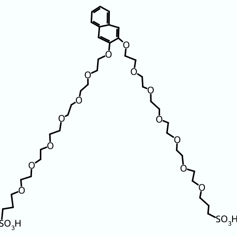 O=S(=O)(O)CCCOCCOCCOCCOCCOCCOCCOc1cc2ccccc2cc1OCCOCCOCCOCCOCCOCCOCCCS(=O)(=O)O